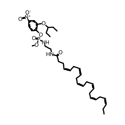 CC/C=C\C/C=C\C/C=C\C/C=C\C/C=C\C/C=C\CCC(=O)NCCNP(=O)(OC)Oc1ccc([N+](=O)[O-])cc1OC(CC)CC